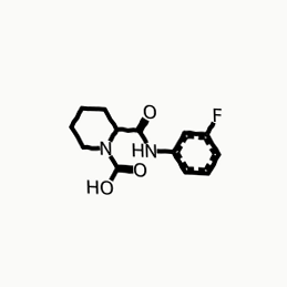 O=C(Nc1cccc(F)c1)C1CCCCN1C(=O)O